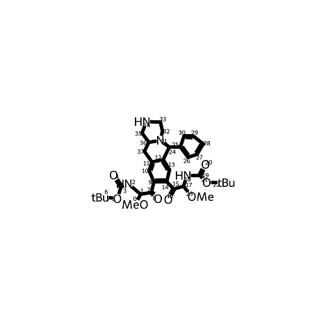 COC(NC(=O)OC(C)(C)C)C(=O)c1cc2c(cc1C(=O)C(NC(=O)OC(C)(C)C)OC)C(c1ccccc1)N1CCNCC1C2